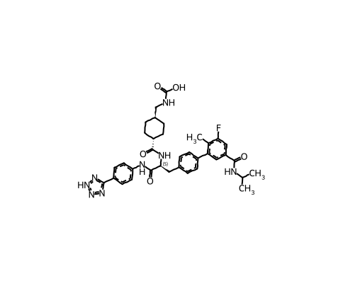 Cc1c(F)cc(C(=O)NC(C)C)cc1-c1ccc(C[C@H](NC(=O)[C@H]2CC[C@H](CNC(=O)O)CC2)C(=O)Nc2ccc(-c3nn[nH]n3)cc2)cc1